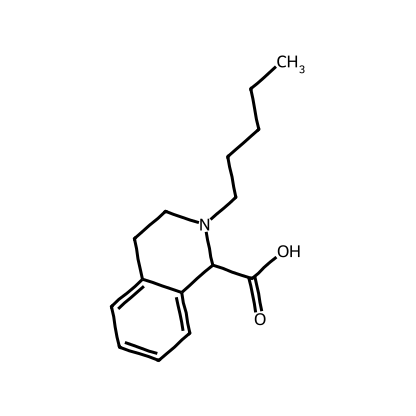 CCCCCN1CCc2ccccc2C1C(=O)O